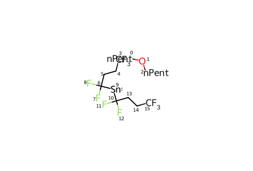 CCCCCOCCCCC.FC(F)(F)CC[C](F)(F)[Sn][C](F)(F)CCC(F)(F)F